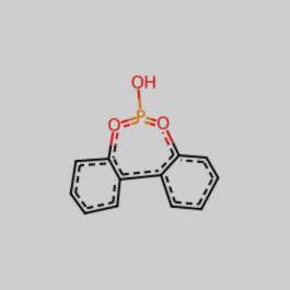 Op1oc2ccccc2c2ccccc2o1